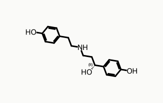 Oc1ccc(CCNCC[C@@H](O)c2ccc(O)cc2)cc1